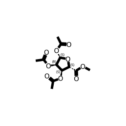 COC(=O)[C@H]1O[C@@H](OC(C)=O)[C@H](OC(C)=O)[C@@H]1OC(C)=O